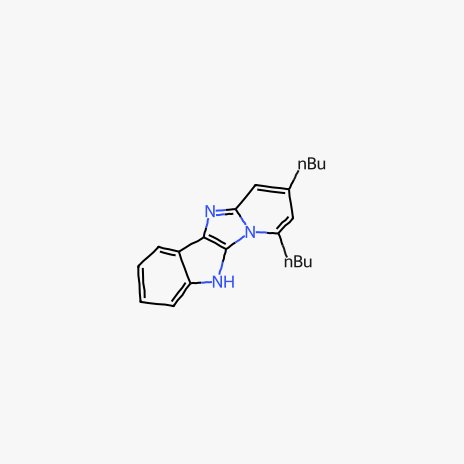 CCCCc1cc(CCCC)n2c(c1)nc1c3ccccc3[nH]c12